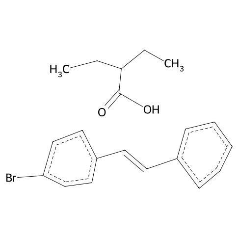 Brc1ccc(C=Cc2ccccc2)cc1.CCC(CC)C(=O)O